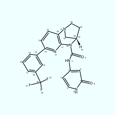 O=C(Nc1cc[nH]c(=O)c1)N1c2nc(-c3cccc(C(F)(F)F)c3)ccc2N2CC[C@H]1C2